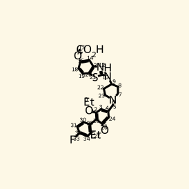 CCOc1cc(CN2CCC(Nc3nc4cc(OC(=O)O)ccc4s3)CC2)cc(OCC)c1-c1ccc(F)cc1